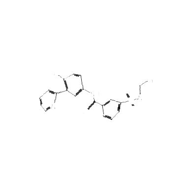 CC(C)CNS(=O)(=O)c1cccc(C(=O)Nc2ccc(Cl)c(-c3ccccn3)c2)c1